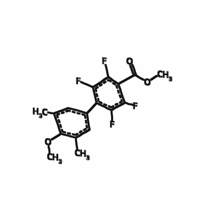 COC(=O)c1c(F)c(F)c(-c2cc(C)c(OC)c(C)c2)c(F)c1F